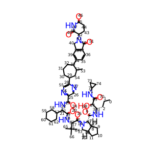 CCC[C@H](NC(=O)[C@@H]1[C@H]2CCC[C@H]2CN1C(=O)[C@@H](NC(=O)[C@@H](NC(=O)c1cnc(C2CCCC(c3ccc4c(c3)CN(C3CCC(=O)NC3=O)C4=O)C(C)C2)cn1)C1CCCCC1)C(C)(C)C)C(O)C(=O)NC1CC1